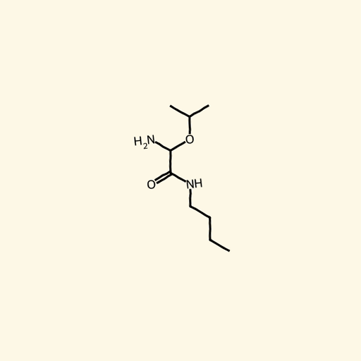 CCCCNC(=O)C(N)OC(C)C